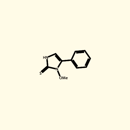 COn1c(-c2ccccc2)c[nH]c1=S